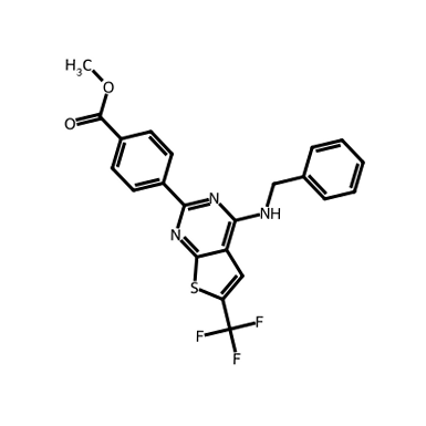 COC(=O)c1ccc(-c2nc(NCc3ccccc3)c3cc(C(F)(F)F)sc3n2)cc1